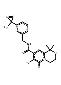 CC1(C)OCCn2c1nc(C(=O)NCc1cccc(C3(C(F)(F)F)N=N3)c1)c(O)c2=O